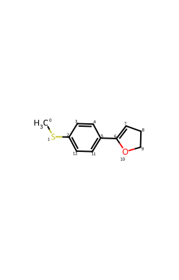 CSc1ccc(C2=CCCO2)cc1